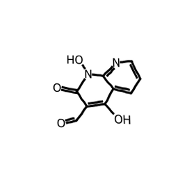 O=Cc1c(O)c2cccnc2n(O)c1=O